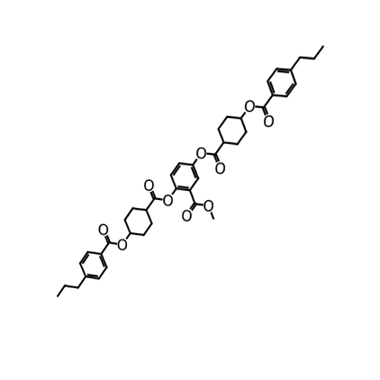 CCCc1ccc(C(=O)OC2CCC(C(=O)Oc3ccc(OC(=O)C4CCC(OC(=O)c5ccc(CCC)cc5)CC4)c(C(=O)OC)c3)CC2)cc1